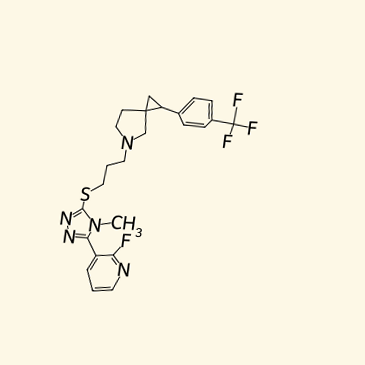 Cn1c(SCCCN2CCC3(CC3c3ccc(C(F)(F)F)cc3)C2)nnc1-c1cccnc1F